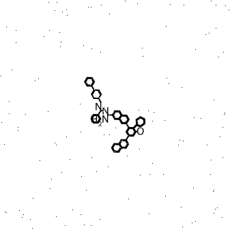 N/C(=N\C(=N/CC1C=CC(c2ccccc2)=CC1)c1ccccc1)c1ccc2ccc(-c3cc(-c4ccc5ccccc5c4)cc4oc5ccccc5c34)cc2c1